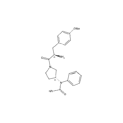 CCCC(=O)N(c1ccccc1)[C@@H]1CCN(C(=O)[C@H](N)Cc2ccc(OC)cc2)C1